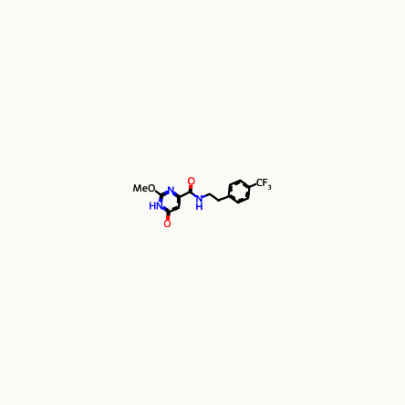 COc1nc(C(=O)NCCc2ccc(C(F)(F)F)cc2)cc(=O)[nH]1